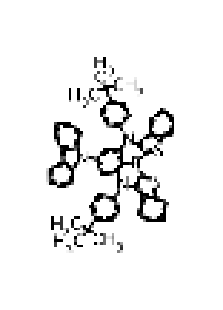 CC(C)(C)c1ccc(N2c3cc(-n4c5ccccc5c5ccccc54)cc4c3B(c3sc5ccccc5c32)c2sc3ccccc3c2N4c2ccc(C(C)(C)C)cc2)cc1